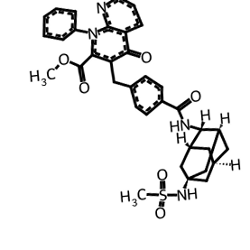 COC(=O)c1c(Cc2ccc(C(=O)N[C@H]3[C@@H]4C[C@H]5C[C@H]3C[C@](NS(C)(=O)=O)(C5)C4)cc2)c(=O)c2cccnc2n1-c1ccccc1